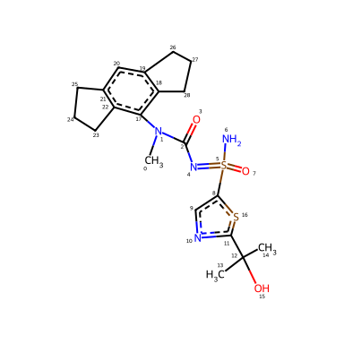 CN(C(=O)N=S(N)(=O)c1cnc(C(C)(C)O)s1)c1c2c(cc3c1CCC3)CCC2